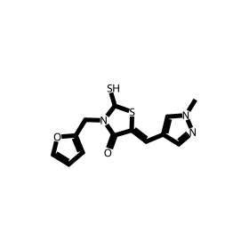 Cn1cc(/C=C2\SC(S)N(Cc3ccco3)C2=O)cn1